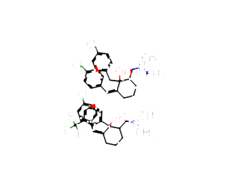 CN(C)CC1CCC/C(=C/c2ccc(Cl)cc2)C1(O)Cc1ccc(Cl)cc1.CN(C)CC1CCC/C(=C/c2ccc(Cl)cc2)C1(O)c1cccc(C(F)(F)F)c1